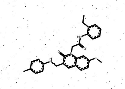 CCc1ccccc1NC(=O)Cn1c(=O)c(CNc2ccc(C)cc2)cc2ccc(OC)cc21